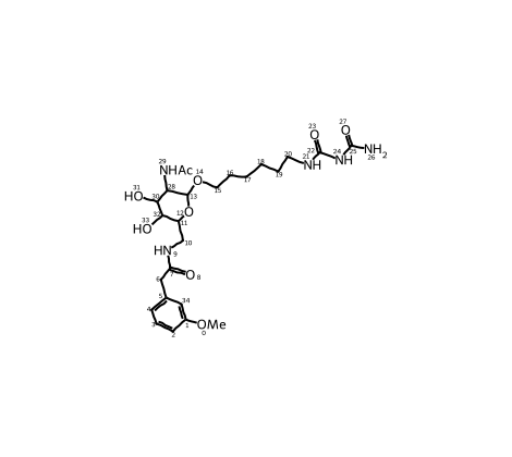 COc1cccc(CC(=O)NCC2OC(OCCCCCCNC(=O)NC(N)=O)C(NC(C)=O)C(O)C2O)c1